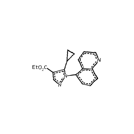 CCOC(=O)c1cnn(-c2cccc3ncccc23)c1C1CC1